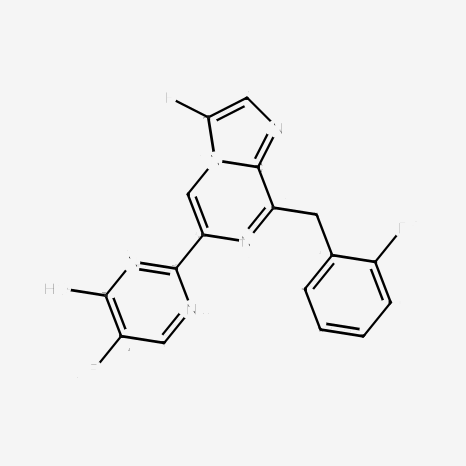 Oc1nc(-c2cn3c(F)cnc3c(Cc3ccccc3F)n2)ncc1F